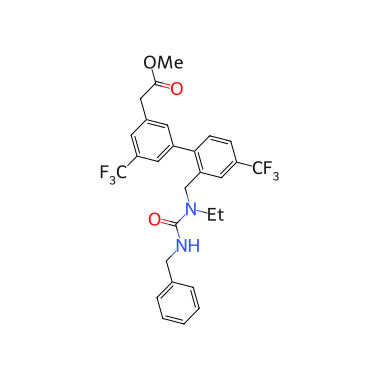 CCN(Cc1cc(C(F)(F)F)ccc1-c1cc(CC(=O)OC)cc(C(F)(F)F)c1)C(=O)NCc1ccccc1